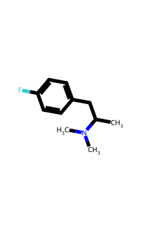 CC(Cc1ccc(F)cc1)N(C)C